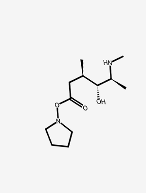 CN[C@@H](C)[C@H](O)[C@H](C)CC(=O)ON1CCCC1